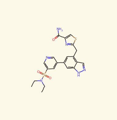 CCN(CC)S(=O)(=O)c1cncc(-c2cc(Cc3nc(C(N)=O)cs3)c3cn[nH]c3c2)c1